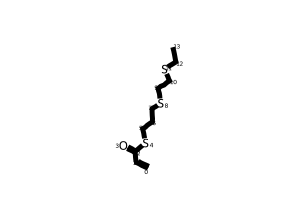 C=CC(=O)SCCCSCCSCC